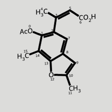 CC(=O)Oc1c(/C(C)=C\C(=O)O)cc2cc(C)oc2c1C